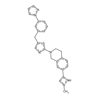 Cn1cc(-c2ccc3c(c2)CN(c2ncc(Cc4cccc(-n5cccn5)c4)s2)CC3)[nH]1